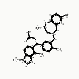 Cc1ccc([C@@H](CC(=O)O)c2ccc3c(nnn3C)c2C)cc1CN1Cc2nc(O)ccc2O[C@H](C)C1